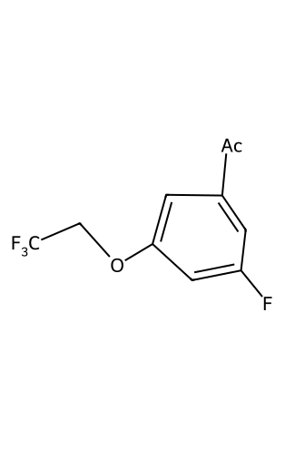 CC(=O)c1cc(F)cc(OCC(F)(F)F)c1